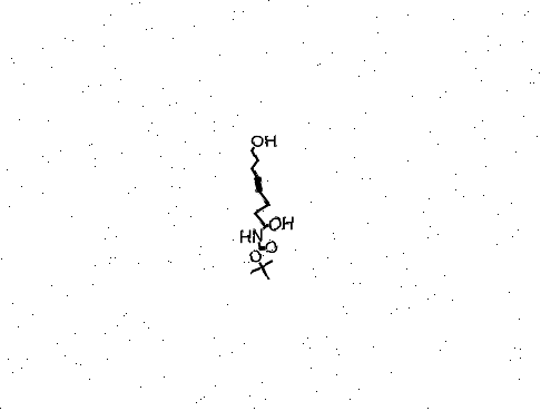 CC(C)(C)OC(=O)NC(O)CCC#CCCCO